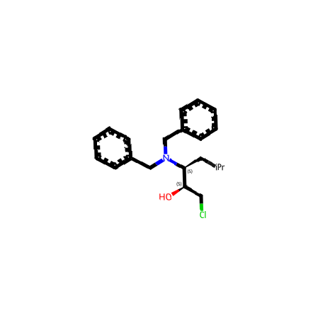 CC(C)C[C@@H]([C@H](O)CCl)N(Cc1ccccc1)Cc1ccccc1